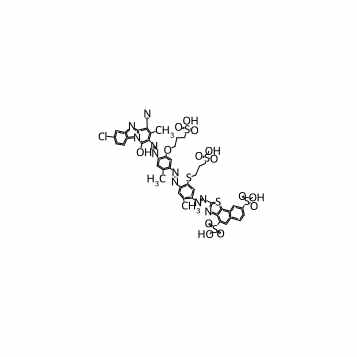 Cc1cc(N=Nc2cc(OCCCS(=O)(=O)O)c(N=Nc3c(C)c(C#N)c4nc5cc(Cl)ccc5n4c3O)cc2C)c(SCCCS(=O)(=O)O)cc1N=Nc1nc2c(S(=O)(=O)O)cc3ccc(S(=O)(=O)O)cc3c2s1